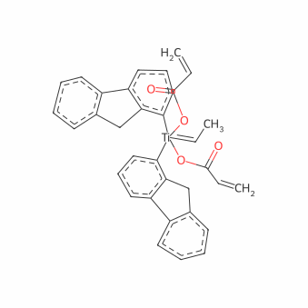 C=CC(=O)[O][Ti](=[CH]C)([O]C(=O)C=C)([c]1cccc2c1Cc1ccccc1-2)[c]1cccc2c1Cc1ccccc1-2